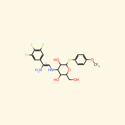 N/C(=C\NC1C(O)C(CO)OC(Sc2ccc(OC(F)(F)F)cc2)C1O)c1cc(F)c(F)c(F)c1